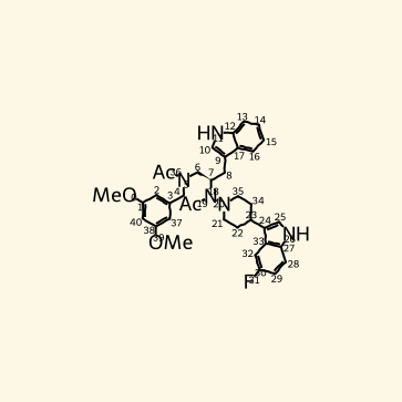 COc1cc(CN(C[C@@H](Cc2c[nH]c3ccccc23)N(C(C)=O)N2CCC(c3c[nH]c4ccc(F)cc34)CC2)C(C)=O)cc(OC)c1